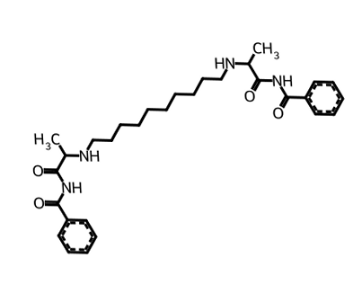 CC(NCCCCCCCCCCNC(C)C(=O)NC(=O)c1ccccc1)C(=O)NC(=O)c1ccccc1